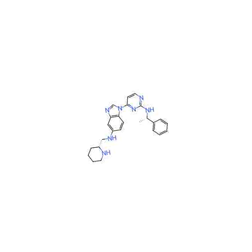 C[C@H](Nc1nccc(-n2cnc3cc(NC[C@H]4CCCCN4)ccc32)n1)c1ccccc1